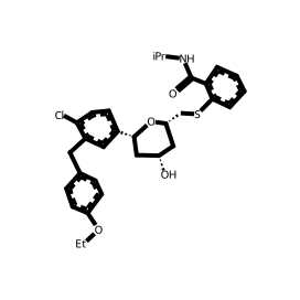 CCOc1ccc(Cc2cc([C@H]3C[C@@H](O)C[C@@H](CSc4ccccc4C(=O)NC(C)C)O3)ccc2Cl)cc1